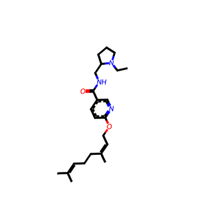 CCN1CCCC1CNC(=O)c1ccc(OCC=C(C)CCC=C(C)C)nc1